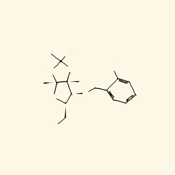 CCC1(C)O[C@H]2O[C@H](CC(C)C)[C@H](OCc3ccccc3C(F)(F)F)[C@H]2O1